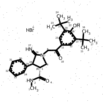 Br.CNC(=O)[C@H]1CN(CC(=O)c2cc(C(C)(C)C)c(O)c(C(C)(C)C)c2)C(=N)C1c1ccccc1